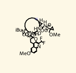 CCC(C)N(C(=O)O)[C@H]1CCCCC/C=C\[C@@H]2C[C@@]2(C(=O)NS(=O)(=O)C2(COC)CC2)NC(=O)[C@@H]2C[C@]3(CCc4c(c(C(F)F)nc5ccc(OC)cc45)O3)C(C)N2C1=O